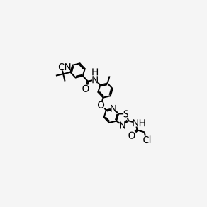 Cc1ccc(Oc2ccc3nc(NC(=O)CCl)sc3n2)cc1NC(=O)c1cccc(C(C)(C)C#N)c1